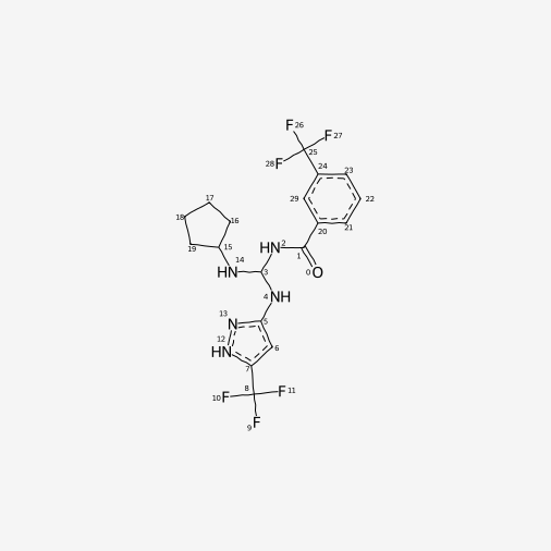 O=C(NC(Nc1cc(C(F)(F)F)[nH]n1)NC1CCCC1)c1cccc(C(F)(F)F)c1